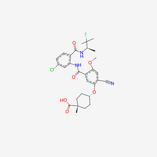 COc1cc(C#N)c(O[C@H]2CC[C@@](C)(C(=O)O)CC2)cc1C(=O)Nc1cc(Cl)ccc1C(=O)N[C@H](C)C(C)(C)F